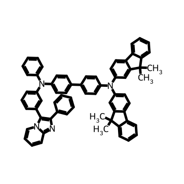 CC1(C)c2ccccc2-c2ccc(N(c3ccc(-c4ccc(N(c5ccccc5)c5cccc(-c6c(-c7ccccc7)nc7ccccn67)c5)cc4)cc3)c3ccc4c(c3)C(C)(C)c3ccccc3-4)cc21